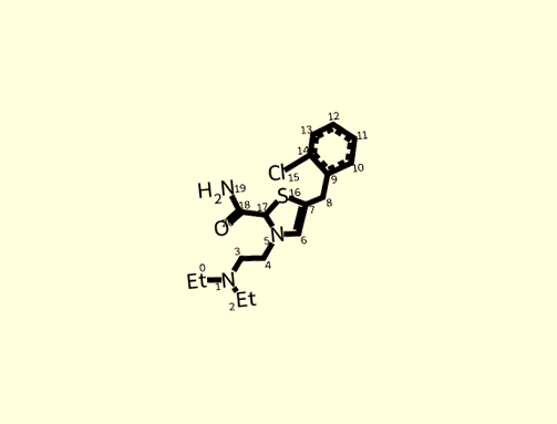 CCN(CC)CCN1C=C(Cc2ccccc2Cl)SC1C(N)=O